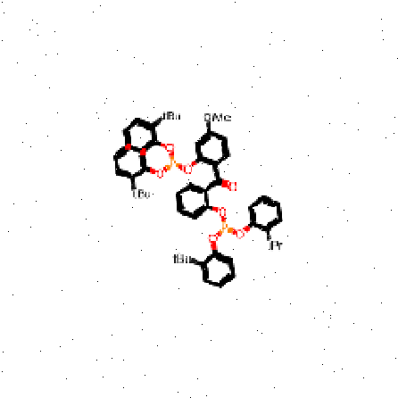 COc1ccc(C(=O)c2ccccc2OP(Oc2ccccc2C(C)C)Oc2ccccc2C(C)(C)C)c(OP(Oc2ccccc2C(C)(C)C)Oc2ccccc2C(C)(C)C)c1